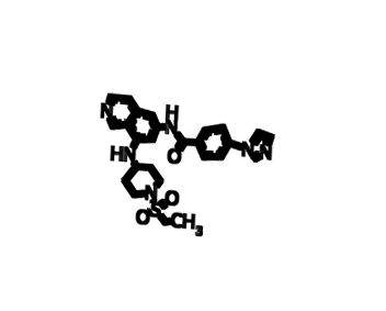 CCS(=O)(=O)N1CCC(Nc2cc(NC(=O)c3ccc(-n4ccnc4)cc3)cc3ccncc23)CC1